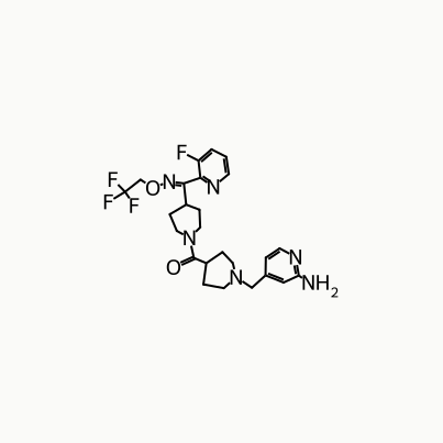 Nc1cc(CN2CCC(C(=O)N3CCC(/C(=N\OCC(F)(F)F)c4ncccc4F)CC3)CC2)ccn1